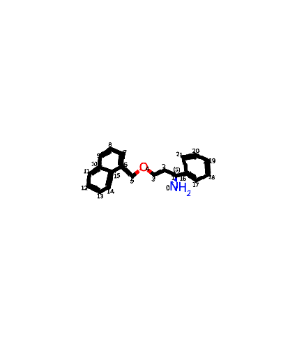 N[C@@H](CCOCc1cccc2ccccc12)c1ccccc1